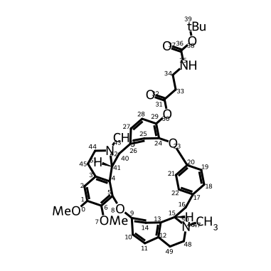 COc1cc2c3c(c1OC)Oc1ccc4c(c1)[C@H](Cc1ccc(cc1)Oc1cc(ccc1OC(=O)CCNC(=O)OC(C)(C)C)C[C@H]3N(C)CC2)N(C)CC4